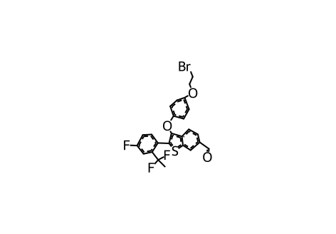 CC(F)(F)c1cc(F)ccc1-c1sc2cc(C=O)ccc2c1Oc1ccc(OCCBr)cc1